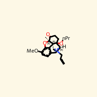 C=CCN1CC[C@]23c4c5ccc(OC)c4O[C@@]2(C)C(=O)CCC3(OCCC)[C@H]1C5